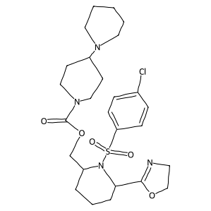 O=C(OCC1CCCC(C2=NCCO2)N1S(=O)(=O)c1ccc(Cl)cc1)N1CCC(N2CCCCC2)CC1